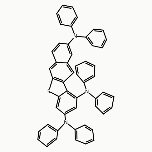 c1ccc(N(c2ccccc2)c2ccc3cc4sc5cc(N(c6ccccc6)c6ccccc6)cc(N(c6ccccc6)c6ccccc6)c5c4cc3c2)cc1